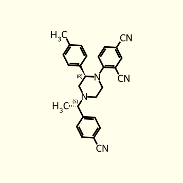 Cc1ccc([C@@H]2CN([C@@H](C)c3ccc(C#N)cc3)CCN2c2ccc(C#N)cc2C#N)cc1